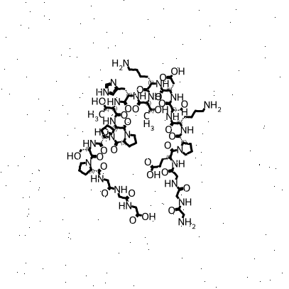 C[C@@H](O)[C@H](NC(=O)[C@H](CCCCN)NC(=O)[C@H](CC(=O)O)NC(=O)[C@H](CO)NC(=O)[C@H](CCCCN)NC(=O)[C@@H]1CCCN1C(=O)[C@H](CCC(=O)O)NC(=O)CNC(=O)CNC(=O)CN)C(=O)N[C@@H](Cc1c[nH]cn1)C(=O)N[C@H](C(=O)N[C@@H](CO)C(=O)N1CCC[C@H]1C(=O)N1CCC[C@H]1C(=O)N[C@@H](CO)C(=O)N1CCC[C@H]1C(=O)NCC(=O)NCC(=O)NCC(=O)O)[C@@H](C)O